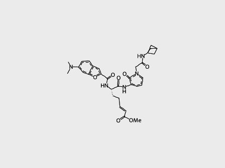 COC(=O)/C=C/CC[C@H](NC(=O)c1cc2ccc(N(C)C)cc2o1)C(=O)Nc1cccn(CC(=O)NC23CC(C2)C3)c1=O